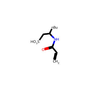 C=CC(=O)NC(CCCC)CS(=O)(=O)O